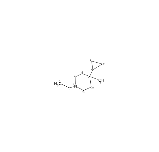 CCN1CCC(O)(C2CC2)CC1